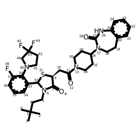 CC(C)(C)CCN1C(=O)[C@H](CC(=O)N2CCC(N3CCc4ccccc4NC3=O)CC2)SC1c1cccc(F)c1N1CCC(F)(F)C1